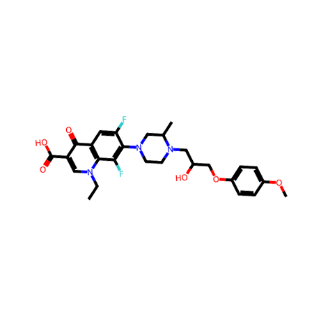 CCn1cc(C(=O)O)c(=O)c2cc(F)c(N3CCN(CC(O)COc4ccc(OC)cc4)C(C)C3)c(F)c21